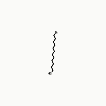 SCCCCCCCCCCCCBr